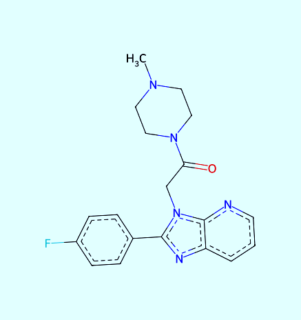 CN1CCN(C(=O)Cn2c(-c3ccc(F)cc3)nc3cccnc32)CC1